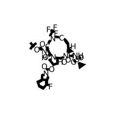 CC(C)(C)OC(=O)N[C@H]1CCN(CC(F)(F)F)CCC=C[C@@H]2C[C@@]2(C(=O)NS(=O)(=O)C2CC2)NC(=O)[C@@H]2C[C@@H](OC(=O)N3Cc4cccc(F)c4C3)CN2C1=O